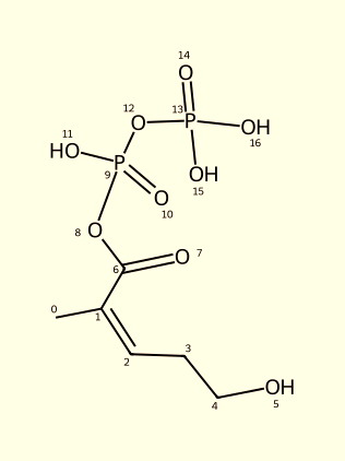 CC(=CCCO)C(=O)OP(=O)(O)OP(=O)(O)O